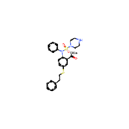 COC(=O)c1cc(SCCc2ccccc2)ccc1N(c1ccccc1)S(=O)(=O)N1CCNCC1